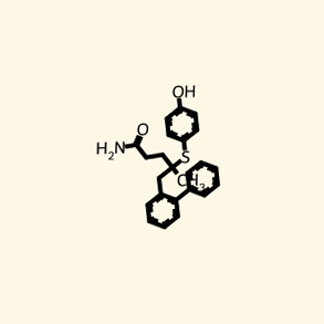 CC(CCC(N)=O)(Cc1ccccc1-c1ccccc1)Sc1ccc(O)cc1